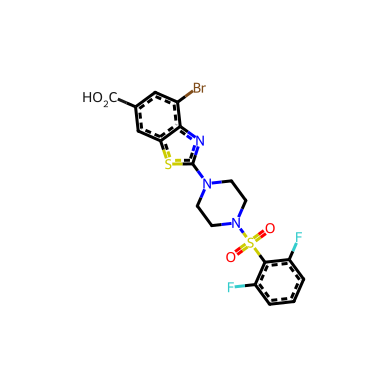 O=C(O)c1cc(Br)c2nc(N3CCN(S(=O)(=O)c4c(F)cccc4F)CC3)sc2c1